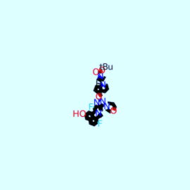 C#Cc1c(F)ccc2cc(O)cc(-c3ncc4c(N5CCCOCC5)nc(OC[C@]56CCC[C@H]5N(C5CN(C(=O)OC(C)(C)C)C5)CCC6)nc4c3F)c12